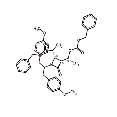 COc1ccc(CC(Cc2ccc(OC)cc2)N2C(=O)[C@H]([C@@H](C)OC(=O)OCc3ccccc3)[C@H]2C(C)C(=O)OCc2ccccc2)cc1